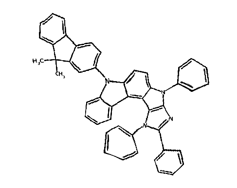 CC1(C)c2ccccc2-c2ccc(-n3c4ccccc4c4c5c6c(nc(-c7ccccc7)n6-c6ccccc6)n(-c6ccccc6)c5ccc43)cc21